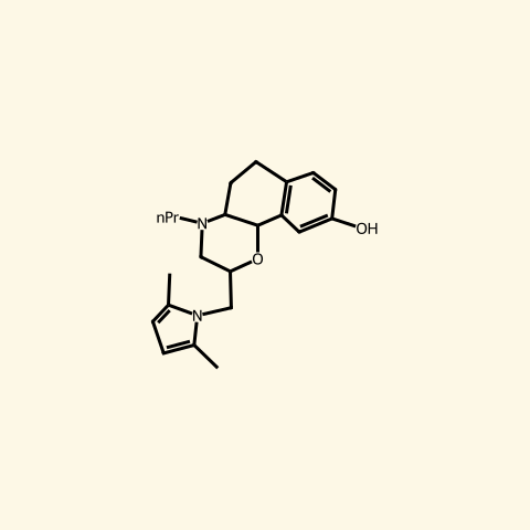 CCCN1CC(Cn2c(C)ccc2C)OC2c3cc(O)ccc3CCC21